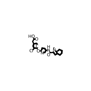 Cn1c(C(=O)Nc2ccc(Oc3ccc(CC(=O)O)cc3Cl)nc2)cc2ccccc21